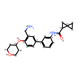 NCc1cc(-c2cccc(NC(=O)C3CC34CC4)c2)ccc1OC1CCOCC1